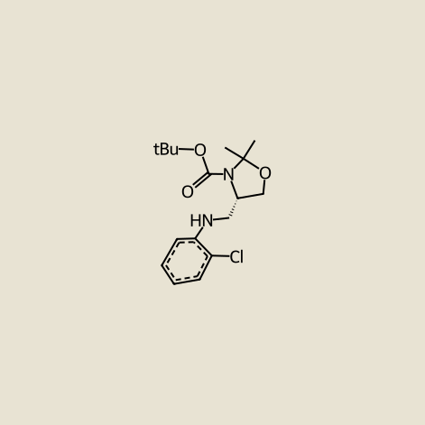 CC(C)(C)OC(=O)N1[C@@H](CNc2ccccc2Cl)COC1(C)C